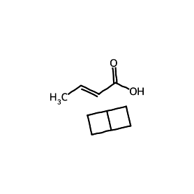 C1CC2CCC12.CC=CC(=O)O